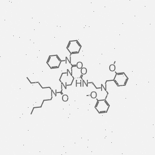 CCCCCN(CCCCC)C(=O)N1CCN(C(=O)N(c2ccccc2)c2ccccc2)[C@H](C(=O)NCCN(Cc2ccccc2OC)Cc2ccccc2OC)C1